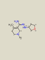 CC(=O)N1CCC(C)=C(/C(N)=N\NC2CCOC2)C1